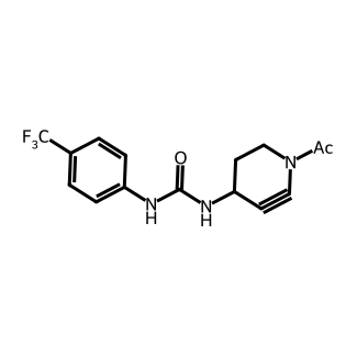 CC(=O)N1C#CC(NC(=O)Nc2ccc(C(F)(F)F)cc2)CC1